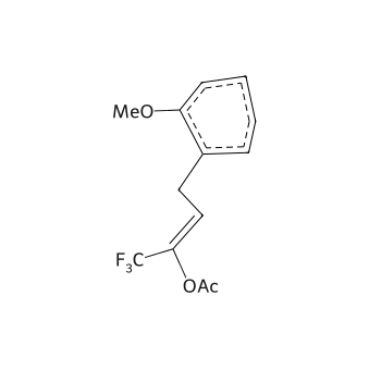 COc1ccccc1CC=C(OC(C)=O)C(F)(F)F